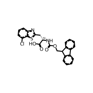 O=C(N[C@@H](Cc1nc2cccc(Cl)c2s1)C(=O)O)OCC1c2ccccc2-c2ccccc21